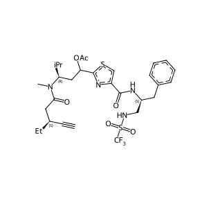 C#C[C@@H](CC)CC(=O)N(C)[C@H](CC(OC(C)=O)c1nc(C(=O)N[C@H](CNS(=O)(=O)C(F)(F)F)Cc2ccccc2)cs1)C(C)C